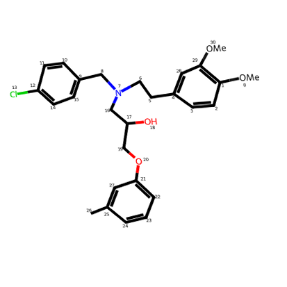 COc1ccc(CCN(Cc2ccc(Cl)cc2)CC(O)COc2cccc(C)c2)cc1OC